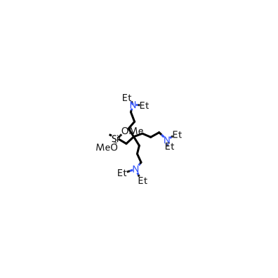 CCN(CC)CCCC(CCCN(CC)CC)(CCCN(CC)CC)C[Si](C)(OC)OC